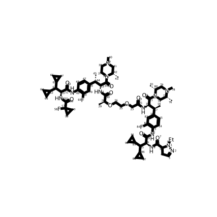 CCN1N=CCC1C(=O)N[C@H](C(=O)Nc1ccc([C@H](C)[C@@H](NC(=O)COCCO[C@@H](C)C(=O)N[C@@H](C(=O)N2CCN(C)C[C@@H]2C)[C@@H](C)c2ccc(NC(=O)[C@@H](NC(=O)C3(F)CC3)C(C3CC3)C3CC3)c(F)c2)C(=O)N2C[C@@H](C)N(C)C[C@H]2C)cc1F)C(C1CC1)C1CC1